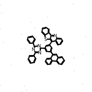 c1ccc(-c2nc(-c3ccccc3)nc(-c3cc(-c4cc5ccccc5c5ccccc45)cc(-c4c5ccccc5nc5c4sc4ccccc45)c3)n2)cc1